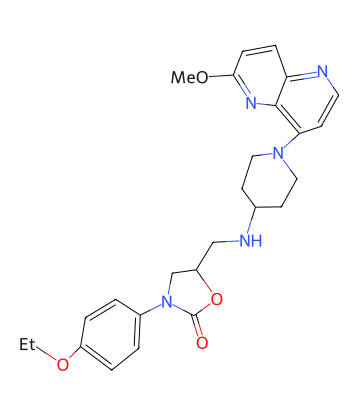 CCOc1ccc(N2CC(CNC3CCN(c4ccnc5ccc(OC)nc45)CC3)OC2=O)cc1